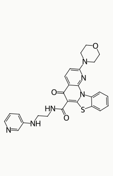 O=C(NCCNc1cccnc1)c1c(=O)c2ccc(N3CCOCC3)nc2n2c1sc1ccccc12